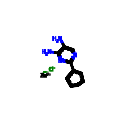 Nc1cnc(-c2ccccc2)nc1N.[Cl-].[Cl-].[Zn+2]